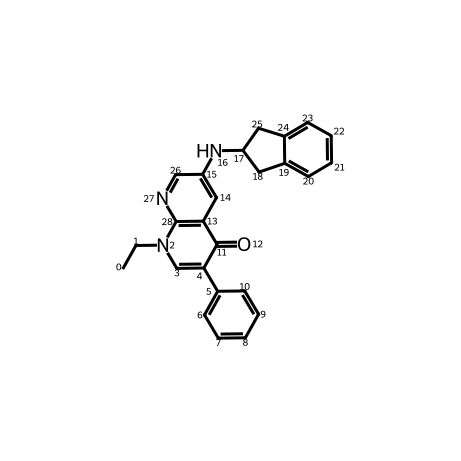 CCn1cc(-c2ccccc2)c(=O)c2cc(NC3Cc4ccccc4C3)cnc21